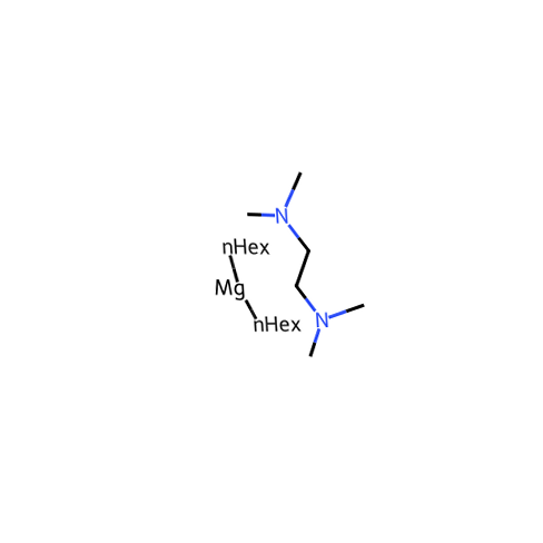 CCCCC[CH2][Mg][CH2]CCCCC.CN(C)CCN(C)C